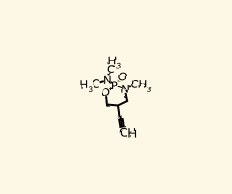 C#CC1COP(=O)(N(C)C)N(C)C1